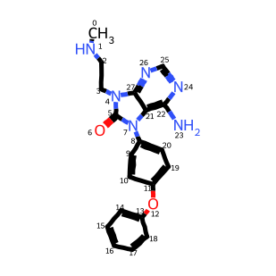 CNCCn1c(=O)n(-c2ccc(Oc3ccccc3)cc2)c2c(N)ncnc21